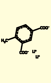 Cc1ccc(C(=O)[O-])cc1C(=O)[O-].[Li+].[Li+]